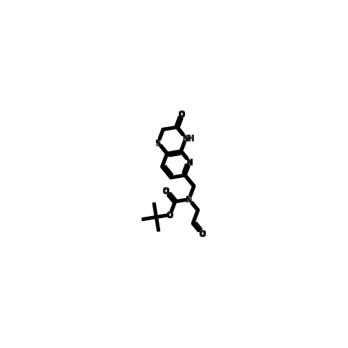 CC(C)(C)OC(=O)N(CC=O)Cc1ccc2c(n1)NC(=O)CS2